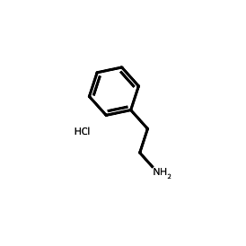 Cl.NCCc1ccccc1